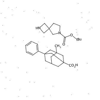 CC(C)(C)OC(=O)N1CCC2(CNC2)C1.CC12CC3CC(C(=O)O)(C1)CC(c1ccccc1)(C3)C2